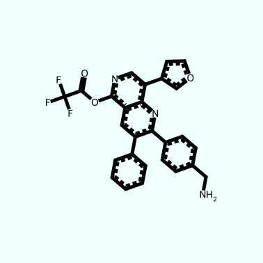 NCc1ccc(-c2nc3c(-c4ccoc4)cnc(OC(=O)C(F)(F)F)c3cc2-c2ccccc2)cc1